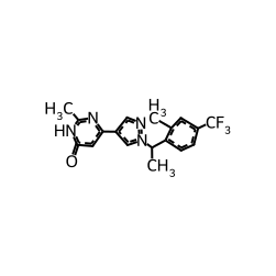 Cc1nc(-c2cnn(C(C)c3ccc(C(F)(F)F)cc3C)c2)cc(=O)[nH]1